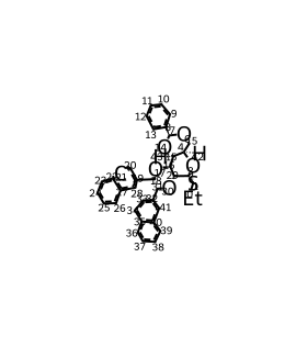 CCS[C@@H]1O[C@@H]2CO[C@H](c3ccccc3)O[C@@H]2[C@H](OCc2ccc3ccccc3c2)[C@H]1OCc1ccc2ccccc2c1